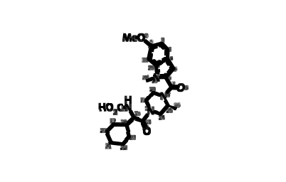 COc1ccc2cc(C(=O)N3CCN(C(=O)C(NC(=O)O)C4CCCCC4)C[C@@H]3C)n(C)c2c1